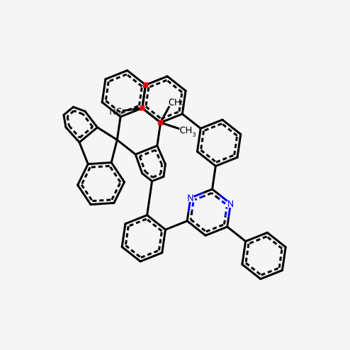 CC1(C)c2ccccc2C2(c3ccccc3-c3ccccc32)c2cc(-c3ccccc3-c3cc(-c4ccccc4)nc(-c4cccc(-c5cccc(C#N)c5)c4)n3)ccc21